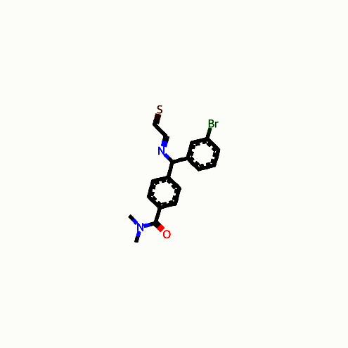 CN(C)C(=O)c1ccc(C(N=CC=S)c2cccc(Br)c2)cc1